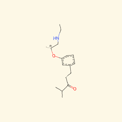 CCNC[C@@H](C)Oc1cccc(CCC(=O)C(C)C)c1